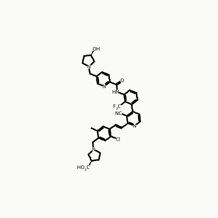 Cc1cc(/C=C/c2nccc(-c3cccc(NC(=O)c4ccc(CN5CC[C@@H](O)C5)cn4)c3C(F)(F)F)c2C#N)c(Cl)cc1CN1CC[C@@H](C(=O)O)C1